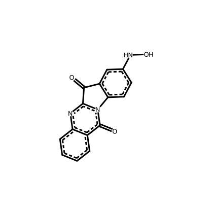 O=C1c2cc(NO)ccc2-n2c1nc1ccccc1c2=O